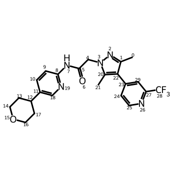 Cc1nn(CC(=O)Nc2ccc(C3CCOCC3)cn2)c(C)c1-c1ccnc(C(F)(F)F)c1